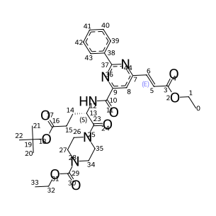 CCOC(=O)/C=C/c1cc(C(=O)N[C@@H](CCC(=O)OC(C)(C)C)C(=O)N2CCN(C(=O)OCC)CC2)nc(-c2ccccc2)n1